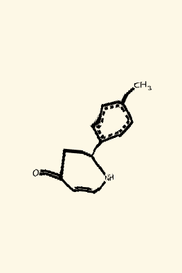 Cc1ccc([C@@H]2CC(=O)C=CN2)cc1